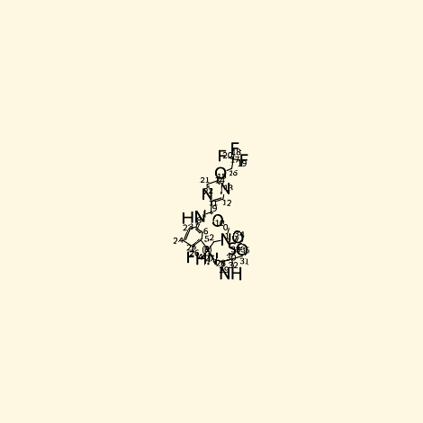 CN1C[C@@](C)(c2cc(NC(=O)c3cnc(OCC(F)(F)F)cn3)ccc2F)NC(=N)C(C)(C)S1(=O)=O